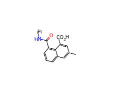 Cc1cc(C(=O)O)c2c(C(=O)NC(C)C)cccc2c1